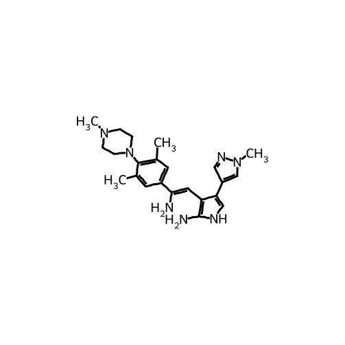 Cc1cc(/C(N)=C/c2c(-c3cnn(C)c3)c[nH]c2N)cc(C)c1N1CCN(C)CC1